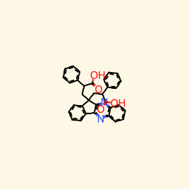 O=C(O)C(CC1(CC(C(=O)O)c2ccccc2)c2ccccc2-c2nc3ccccc3nc21)c1ccccc1